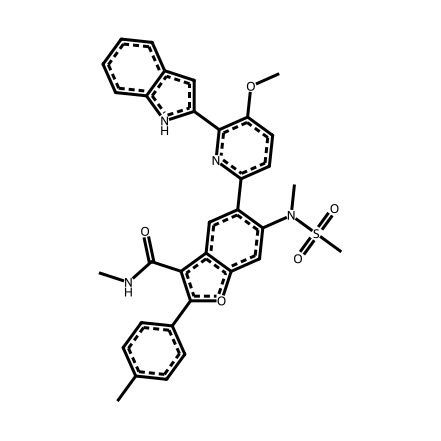 CNC(=O)c1c(-c2ccc(C)cc2)oc2cc(N(C)S(C)(=O)=O)c(-c3ccc(OC)c(-c4cc5ccccc5[nH]4)n3)cc12